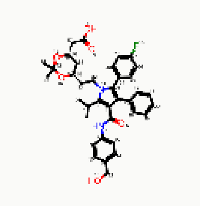 CC(C)c1c(C(=O)Nc2ccc(CO)cc2)c(-c2ccccc2)c(-c2ccc(F)cc2)n1CC[C@@H]1C[C@H](CC(=O)O)OC(C)(C)O1